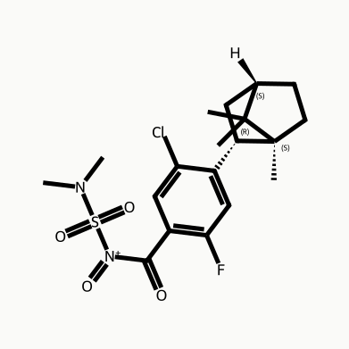 CN(C)S(=O)(=O)[N+](=O)C(=O)c1cc(Cl)c([C@@H]2C[C@@H]3CC[C@]2(C)C3(C)C)cc1F